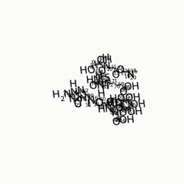 CC(C)(CO)[C@@H](O)C(=O)NCCC(=O)OCC[N+](C)(C)C.Nc1nc(=O)c2nc(CN(I)c3ccc(C(=O)N[C@@H](CCC(=O)O)C(=O)O[C@]4(O)[C@H](O)[C@H](O)[C@@H](O)[C@H](O)[C@H]4O)cc3)cnc2[nH]1.O=C(O)CCCC[C@@H]1SC[C@@H]2NC(=O)N[C@@H]21